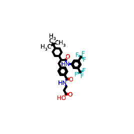 CC(C)(C)C1CCC(C(Cc2ccc(C(=O)NCCC(=O)O)cc2)C(=O)Nc2cc(C(F)(F)F)cc(C(F)(F)F)c2)CC1